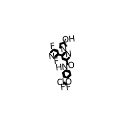 O=C(Nc1ccc(OC(F)(F)Cl)cc1)c1cnc(N2CC[C@@H](O)C2)c(-c2cc(F)cnc2F)c1